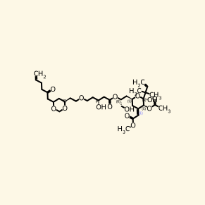 C=CCCC(=O)CC1C[C@@H](CCOCC[C@@H](O)CC(=O)O[C@@H](CO)C[C@@H]2C/C(=C\C(=O)OC)[C@H](OC(C)=O)[C@](O)(C(C)(C)C=C)O2)OCO1